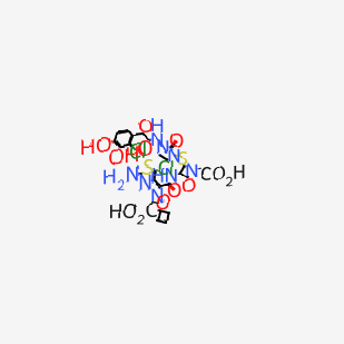 Nc1nc(/C(=N/OC2(C(=O)O)CCC2)C(=O)N[C@@H]2C(=O)N(CC(=O)O)[C@@H]2SN2CCN(NC(=O)C(=O)c3ccc(O)c(O)c3Cl)C2=O)c(Cl)s1